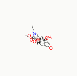 CCCCN1C[C@]2(C(=O)CO)[C@@H](C[C@H]3[C@@H]4CCC5=CC(=O)C=C[C@]5(C)[C@H]4[C@@H](O)C[C@@]32C)C1C(=O)OCC